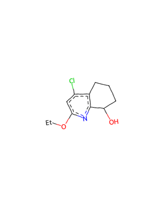 CCOc1cc(Cl)c2c(n1)C(O)CCC2